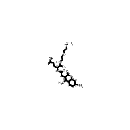 COCCOCCNC(=O)C(CCC(=O)O)NC(=O)Cc1c(C)c2ccc(N)cc2oc1=O